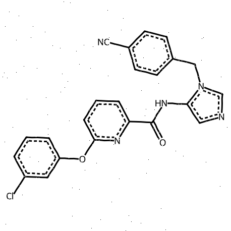 N#Cc1ccc(Cn2cncc2NC(=O)c2cccc(Oc3cccc(Cl)c3)n2)cc1